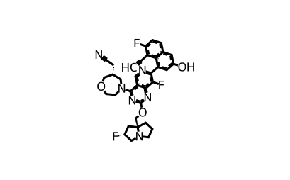 C#Cc1c(F)ccc2cc(O)cc(-c3ncc4c(N5CCOC[C@H](CC#N)C5)nc(OC[C@@]56CCCN5C[C@H](F)C6)nc4c3F)c12